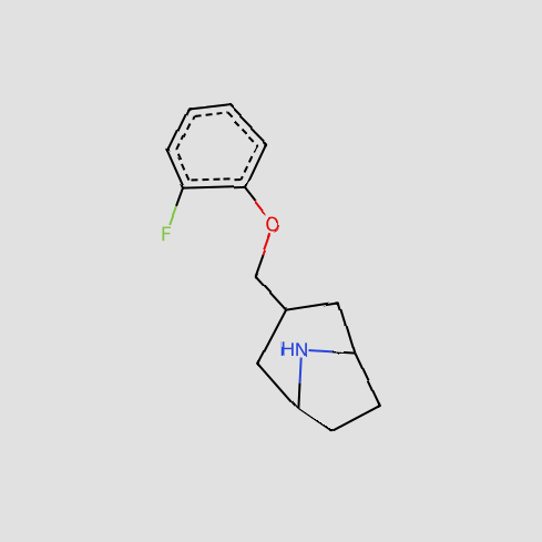 Fc1ccccc1OCC1CC2CCC(C1)N2